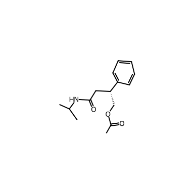 CC(=O)OC[C@H](CC(=O)NC(C)C)c1ccccc1